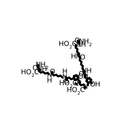 NC(=O)N[C@@H](CCCCNC(=O)CCCCCNC(=O)CCc1ccc(O)c(CN(CCN(CC(=O)O)Cc2cc(CCC(=O)NCCCCCC(=O)NCCCC[C@H](NC(N)=O)C(=O)O)ccc2O)CC(=O)O)c1)C(=O)O